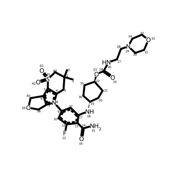 CC1(C)Cc2c(c3c(n2-c2cc(F)c(C(N)=O)c(N[C@H]4CC[C@H](OC(=O)NCCN5CCOCC5)CC4)c2)COC3)S(=O)(=O)C1